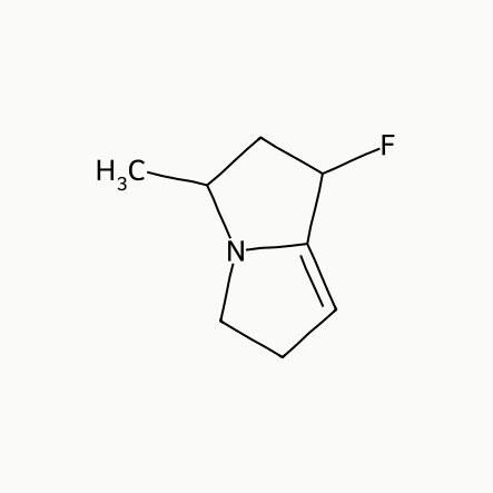 CC1CC(F)C2=CCCN21